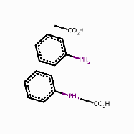 CC(=O)O.CC(=O)O.Pc1ccccc1.Pc1ccccc1